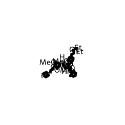 CCN(CC)C(=O)CCc1ccc(Oc2nc(Nc3cc(OC)c(OCCCN4CCN(C)CC4)c(OC)c3)ncc2C(=O)Nc2c(C)cccc2C)c(OC)c1